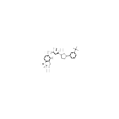 CC(C)(C)c1cccc(C2CCC(c3cc(Nc4ccc5c(c4F)CNS5(=O)=O)n[nH]3)C2)c1